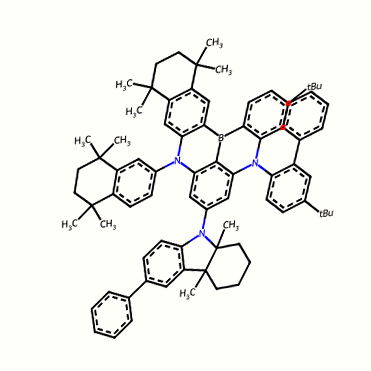 CC(C)(C)c1ccc(N2c3cc(C(C)(C)C)ccc3B3c4cc5c(cc4N(c4ccc6c(c4)C(C)(C)CCC6(C)C)c4cc(N6c7ccc(-c8ccccc8)cc7C7(C)CCCCC67C)cc2c43)C(C)(C)CCC5(C)C)c(-c2ccccc2)c1